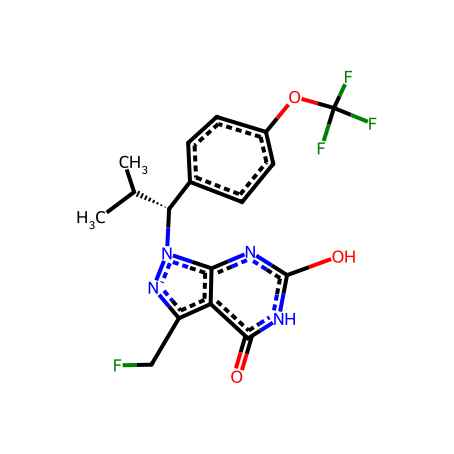 CC(C)[C@H](c1ccc(OC(F)(F)F)cc1)n1nc(CF)c2c(=O)[nH]c(O)nc21